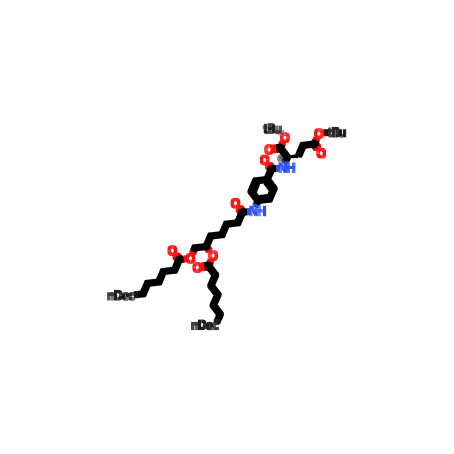 CCCCCCCCCCCCCCCC(=O)OCC(CCCCC(=O)Nc1ccc(C(=O)N[C@@H](CCC(=O)OC(C)(C)C)C(=O)OC(C)(C)C)cc1)OC(=O)CCCCCCCCCCCCCCC